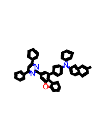 Cc1ccc2ccc(N(c3ccccc3)c3ccc(-c4cc(-c5nc(-c6ccccc6)cc(-c6ccccc6)n5)cc5oc6ccccc6c45)cc3)cc2c1